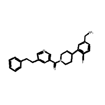 NCc1ccc(F)c(C2CCN(C(=O)c3cncc(CCc4ccccc4)c3)CC2)c1